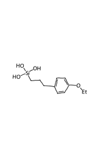 CCOc1ccc(CCC[Si](O)(O)O)cc1